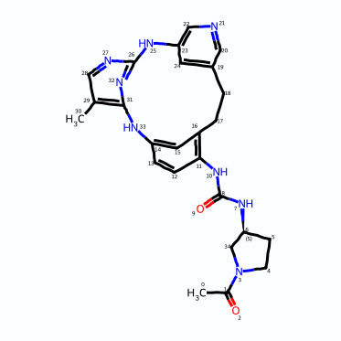 CC(=O)N1CC[C@H](NC(=O)Nc2ccc3cc2CCc2cncc(c2)Nc2ncc(C)c(n2)N3)C1